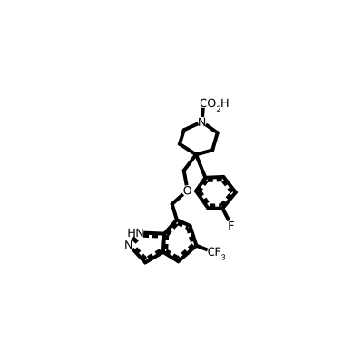 O=C(O)N1CCC(COCc2cc(C(F)(F)F)cc3cn[nH]c23)(c2ccc(F)cc2)CC1